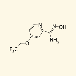 NC(=NO)c1cc(OCC(F)(F)F)ccn1